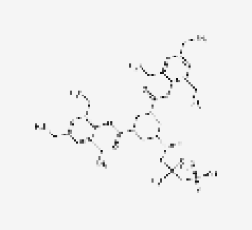 BCc1cc(CB)c(OC(=O)C2CC(C(=O)Oc3c(CB)cc(CB)cc3CB)CC(C(=O)OC(C)(C)CS(=O)(=O)O)C2)c(CB)c1